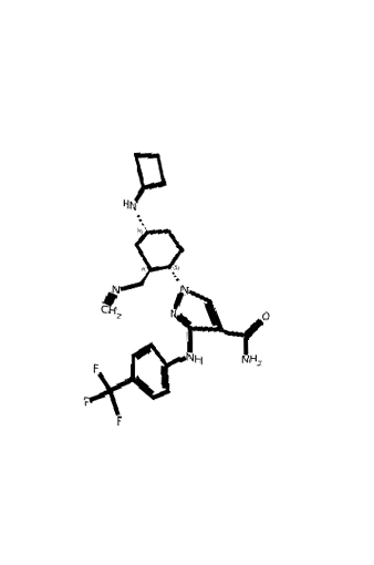 C=NC[C@H]1C[C@H](NC2CCC2)CC[C@@H]1n1cc(C(N)=O)c(Nc2ccc(C(F)(F)F)cc2)n1